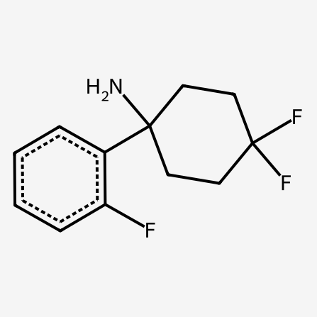 NC1(c2ccccc2F)CCC(F)(F)CC1